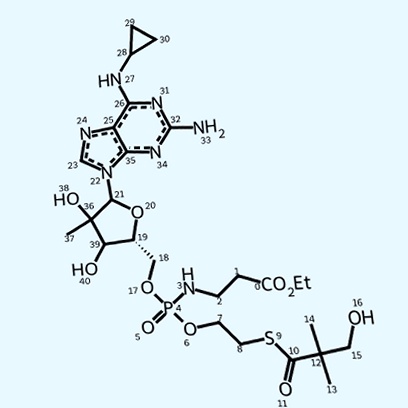 CCOC(=O)CCNP(=O)(OCCSC(=O)C(C)(C)CO)OC[C@H]1OC(n2cnc3c(NC4CC4)nc(N)nc32)C(C)(O)C1O